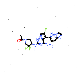 CC(=O)N1CC[C@@H](Nc2nc(N)c3c(-c4ccc5nccn5n4)c(F)cn3n2)C(F)(F)C1